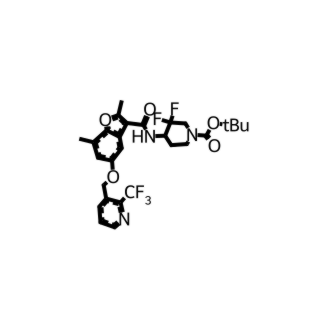 Cc1oc2c(C)cc(OCc3cccnc3C(F)(F)F)cc2c1C(=O)NC1CCN(C(=O)OC(C)(C)C)CC1(F)F